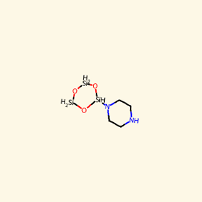 C1CN([SiH]2O[SiH2]O[SiH2]O2)CCN1